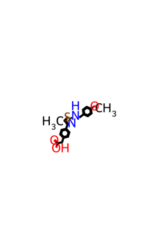 COc1ccc(CNc2nc(-c3ccc(CC(=O)O)cc3)c(C)s2)cc1